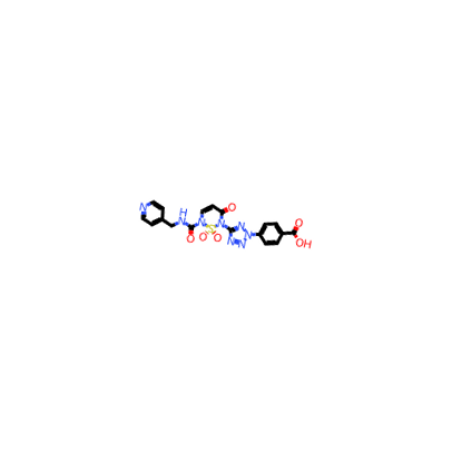 O=C(O)c1ccc(-n2nnc(N3C(=O)C=CN(C(=O)NCc4ccncc4)S3(=O)=O)n2)cc1